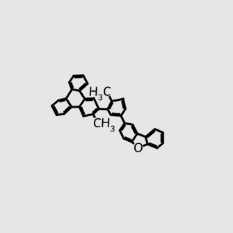 Cc1ccc(-c2ccc3oc4ccccc4c3c2)cc1-c1cc2c3ccccc3c3ccccc3c2cc1C